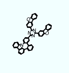 c1ccc2c(c1)-c1cc(-c3nc(-c4ccc5oc6ccccc6c5c4)nc(-c4ccc5oc6ccccc6c5c4)n3)ccc1-n1c3ccccc3c3cccc-2c31